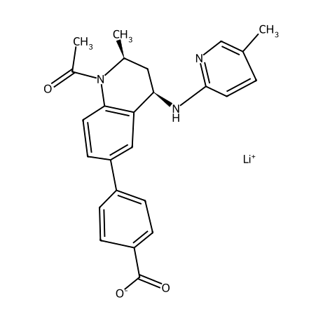 CC(=O)N1c2ccc(-c3ccc(C(=O)[O-])cc3)cc2[C@H](Nc2ccc(C)cn2)C[C@@H]1C.[Li+]